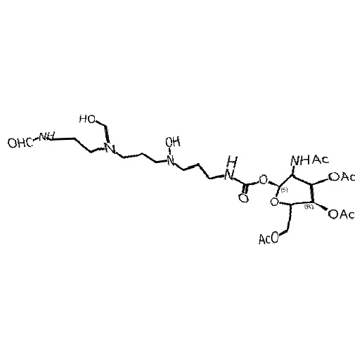 CC(=O)NC1C(OC(C)=O)[C@@H](OC(C)=O)C(COC(C)=O)O[C@H]1OC(=O)NCCCN(O)CCCN(CO)CCCNC=O